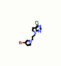 Clc1ncnc2c1ccn2CCCn1ccc(Br)c1